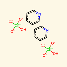 [O-][Cl+3]([O-])([O-])O.[O-][Cl+3]([O-])([O-])O.c1ccncc1.c1ccncc1